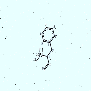 C=CC(Cc1ccccc1)NC